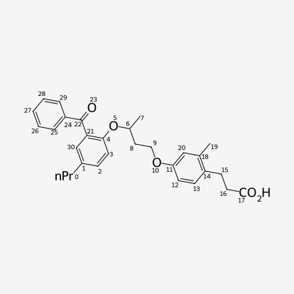 CCCc1ccc(OC(C)CCOc2ccc(CCC(=O)O)c(C)c2)c(C(=O)c2ccccc2)c1